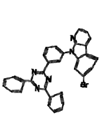 Brc1ccc2c3cccnc3n(-c3cccc(-c4nc(-c5ccccc5)nc(-c5ccccc5)n4)c3)c2c1